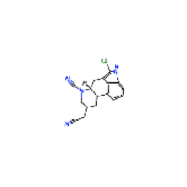 N#CCC1CC2c3cccc4[nH]c(Cl)c(c34)C[C@H]2N(C#N)C1